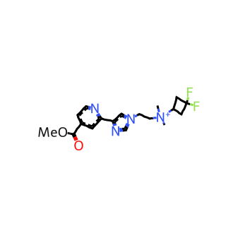 COC(=O)c1ccnc(-c2cn(CC[N+](C)(C)C3CC(F)(F)C3)cn2)c1